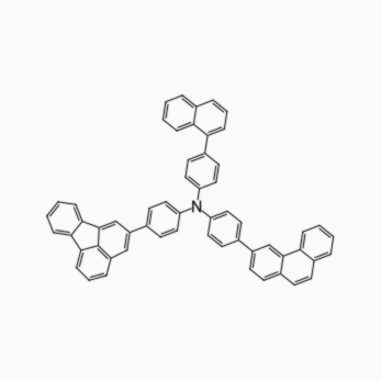 c1ccc2c(c1)-c1cccc3cc(-c4ccc(N(c5ccc(-c6ccc7ccc8ccccc8c7c6)cc5)c5ccc(-c6cccc7ccccc67)cc5)cc4)cc-2c13